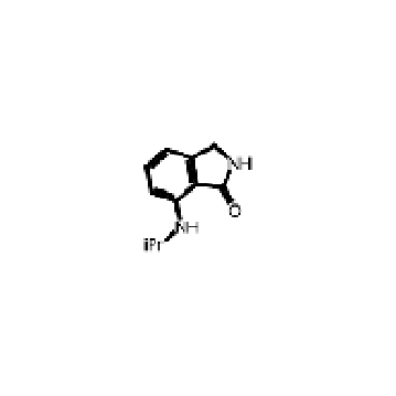 CC(C)Nc1cccc2c1C(=O)NC2